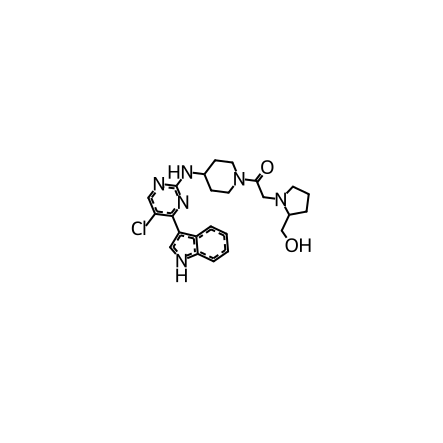 O=C(CN1CCCC1CO)N1CCC(Nc2ncc(Cl)c(-c3c[nH]c4ccccc34)n2)CC1